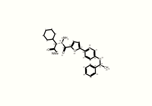 CNC(=O)[C@H](C1CCCCC1)N(N)C(=O)c1ccc(-c2ccc(O[C@@H](C)c3ccccc3)cn2)o1